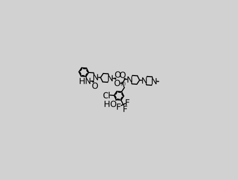 CN1CCN(C2CCN(C(=O)[C@@H](Cc3cc(Cl)c(O)c(C(F)(F)F)c3)OC(=O)N3CCC(N4Cc5ccccc5NC4=O)CC3)CC2)CC1